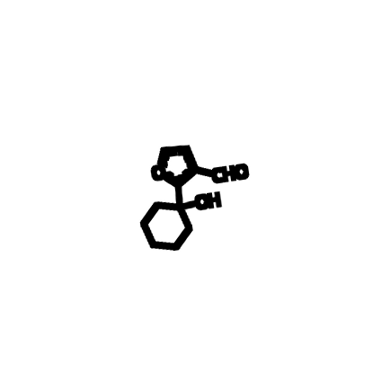 O=Cc1ccoc1C1(O)CCCCC1